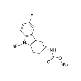 CCCn1c2c(c3cc(F)ccc31)C[C@H](NC(=O)OC(C)(C)C)CC2